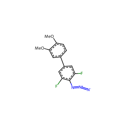 COc1ccc(-c2cc(F)c(N=[N+]=[N-])c(F)c2)cc1OC